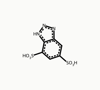 O=S(=O)(O)c1cc(S(=O)(=O)O)c2[nH]nnc2c1